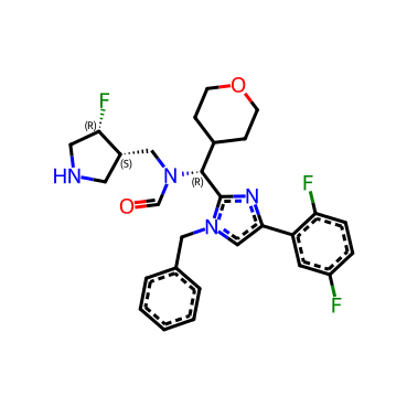 O=CN(C[C@@H]1CNC[C@@H]1F)[C@@H](c1nc(-c2cc(F)ccc2F)cn1Cc1ccccc1)C1CCOCC1